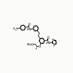 COC[C@H](C)Oc1cc(CCc2cccc(NC(=O)c3ccc([N+](=O)[O-])cc3)c2)cc(C(=O)Nc2nccs2)c1